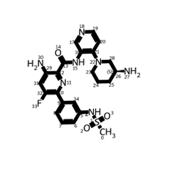 CS(=O)(=O)Nc1cccc(-c2nc(C(=O)Nc3cnccc3N3CCC[C@H](N)C3)c(N)cc2F)c1